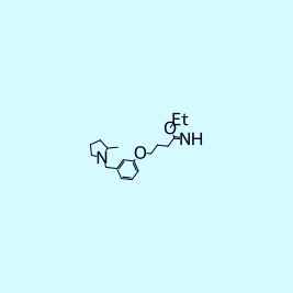 CCOC(=N)CCCOc1cccc(CN2CCCC2C)c1